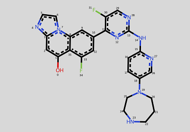 Oc1cc2nccn2c2cc(-c3nc(Nc4ccc(N5CCCNCC5)cn4)ncc3F)cc(F)c12